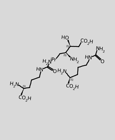 CC(C)C[C@H](N)[C@@H](O)CC(=O)O.NC(=O)NCCC[C@H](N)C(=O)O.NC(=O)NCCC[C@H](N)C(=O)O